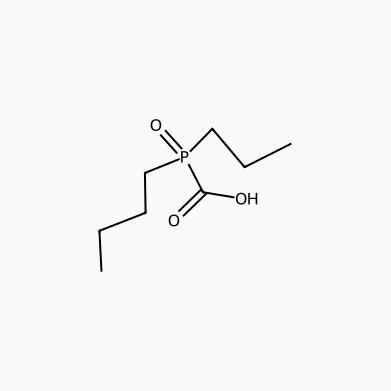 CCCCP(=O)(CCC)C(=O)O